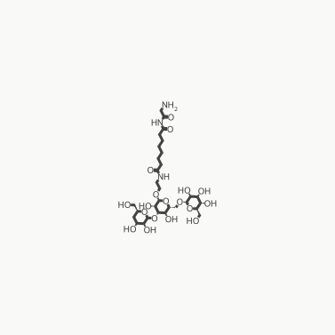 NCC(=O)NC(=O)CCCCCCC(=O)NCCO[C@H]1O[C@H](CO[C@H]2O[C@H](CO)[C@@H](O)[C@H](O)[C@@H]2O)[C@@H](O)[C@H](OC2O[C@H](CO)C[C@H](O)[C@@H]2O)[C@@H]1O